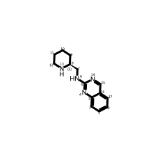 c1ccc2nc(NC[C@@H]3CCCCN3)ncc2c1